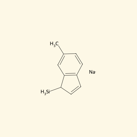 Cc1ccc2c(c1)C([SiH3])C=C2.[Na]